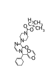 CC(C)(C)OC(=O)N1CCN(c2nccn(C(C3=CC=CCC3)C3=COC=CO3)c2=O)CC1